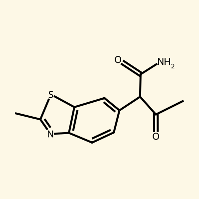 CC(=O)C(C(N)=O)c1ccc2nc(C)sc2c1